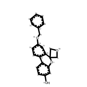 Oc1ccc2c(c1)OC1(COC1)c1cc(OCc3ccccc3)ccc1-2